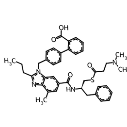 CCCc1nc2c(C)cc(C(=O)N[C@@H](CSC(=O)CCN(C)C)Cc3ccccc3)cc2n1Cc1ccc(-c2ccccc2C(=O)O)cc1